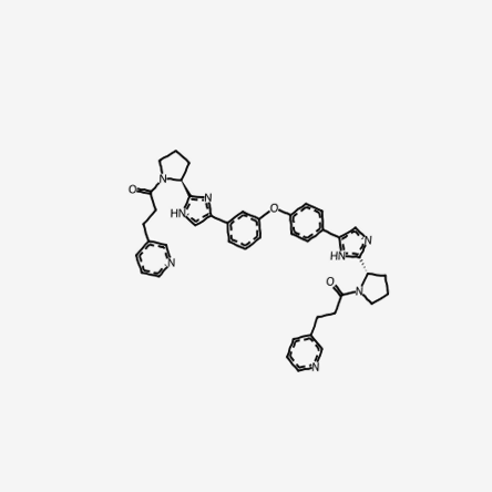 O=C(CCc1cccnc1)N1CCC[C@H]1c1nc(-c2cccc(Oc3ccc(-c4cnc([C@@H]5CCCN5C(=O)CCc5cccnc5)[nH]4)cc3)c2)c[nH]1